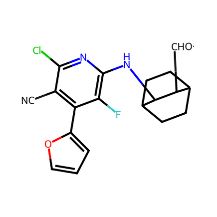 N#Cc1c(Cl)nc(NC2C3CCC(CC3)C2[C]=O)c(F)c1-c1ccco1